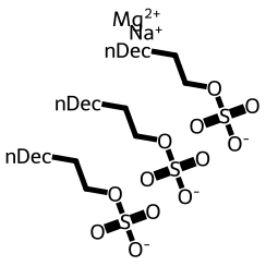 CCCCCCCCCCCCOS(=O)(=O)[O-].CCCCCCCCCCCCOS(=O)(=O)[O-].CCCCCCCCCCCCOS(=O)(=O)[O-].[Mg+2].[Na+]